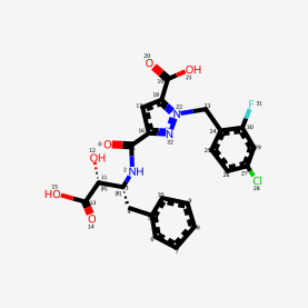 O=C(N[C@H](Cc1ccccc1)[C@@H](O)C(=O)O)c1cc(C(=O)O)n(Cc2ccc(Cl)cc2F)n1